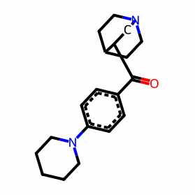 O=C(c1ccc(N2CCCCC2)cc1)C1CN2CCC1CC2